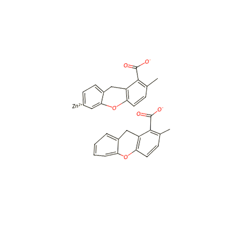 Cc1ccc2c(c1C(=O)[O-])Cc1ccccc1O2.Cc1ccc2c(c1C(=O)[O-])Cc1ccccc1O2.[Zn+2]